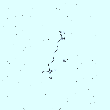 CNCCCCSS(=O)(=O)[O-].[Na+]